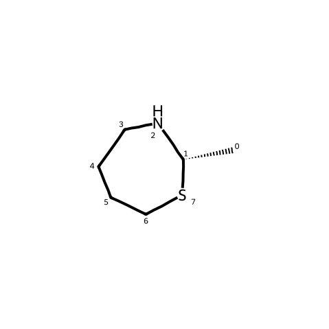 C[C@H]1NCCCCS1